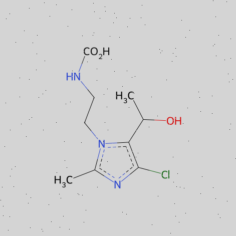 Cc1nc(Cl)c(C(C)O)n1CCNC(=O)O